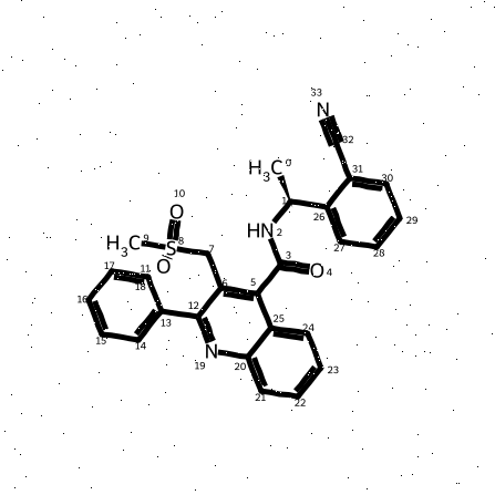 C[C@H](NC(=O)c1c(CS(C)(=O)=O)c(-c2ccccc2)nc2ccccc12)c1ccccc1C#N